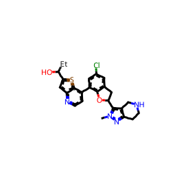 CCC(O)c1cc2nccc(-c3cc(Cl)cc4c3OC(c3c5c(nn3C)CCNC5)C4)c2s1